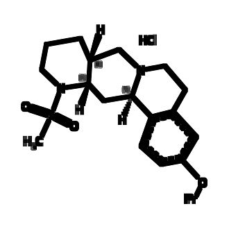 CC(C)Oc1ccc2c(c1)CCN1C[C@H]3CCCN(S(C)(=O)=O)[C@H]3C[C@H]21.Cl